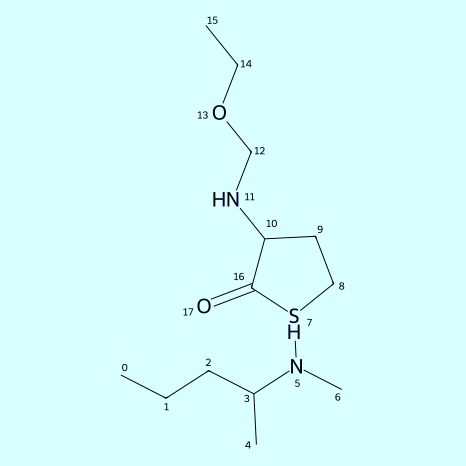 CCCC(C)N(C)[SH]1CCC(NCOCC)C1=O